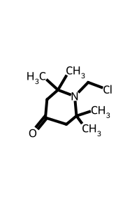 CC1(C)CC(=O)CC(C)(C)N1CCl